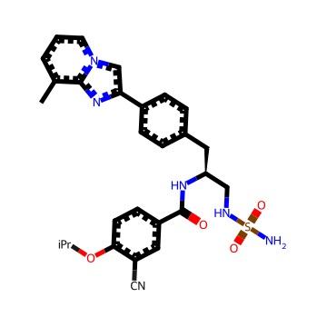 Cc1cccn2cc(-c3ccc(C[C@@H](CNS(N)(=O)=O)NC(=O)c4ccc(OC(C)C)c(C#N)c4)cc3)nc12